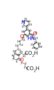 O=C(O)CCCOc1cccc(CCCCCCOc2cc(C(=O)NCc3ccccc3)cc(-c3cccnc3)c2)c1CCC(=O)O